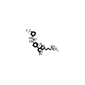 CC(C)c1cc(-c2ccc(NC(=O)Nc3cccc(C(F)(F)F)c3)cc2)c2c(N)nn(CCCN(C)C)c2n1